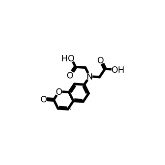 O=C(O)CN(CC(=O)O)c1ccc2[c]cc(=O)oc2c1